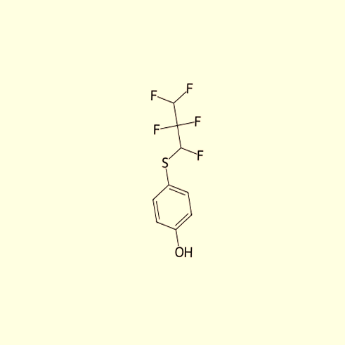 Oc1ccc(SC(F)C(F)(F)C(F)F)cc1